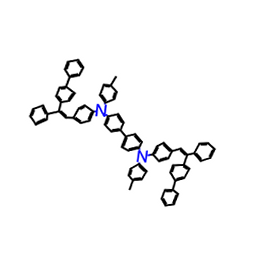 Cc1ccc(N(c2ccc(C=C(c3ccccc3)c3ccc(-c4ccccc4)cc3)cc2)c2ccc(-c3ccc(N(c4ccc(C)cc4)c4ccc(C=C(c5ccccc5)c5ccc(-c6ccccc6)cc5)cc4)cc3)cc2)cc1